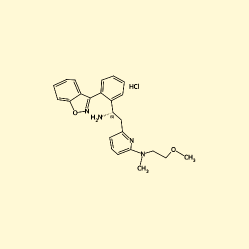 COCCN(C)c1cccc(C[C@H](N)c2ccccc2-c2noc3ccccc23)n1.Cl